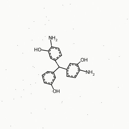 Nc1ccc(C(c2cccc(O)c2)c2ccc(N)c(O)c2)cc1O